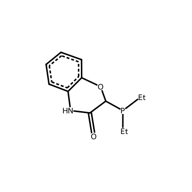 CCP(CC)C1Oc2ccccc2NC1=O